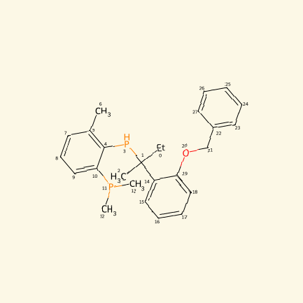 CCC(C)(Pc1c(C)cccc1P(C)C)c1ccccc1OCc1ccccc1